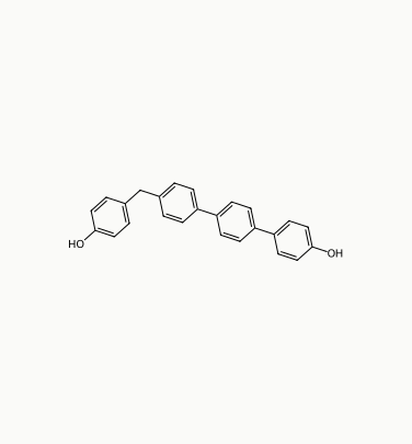 Oc1ccc(Cc2ccc(-c3ccc(-c4ccc(O)cc4)cc3)cc2)cc1